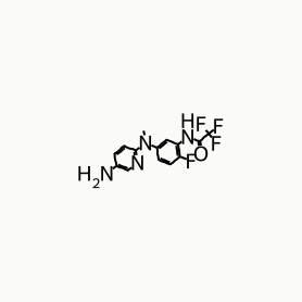 CN(c1ccc(F)c(NC(=O)C(F)(F)F)c1)c1ccc(N)cn1